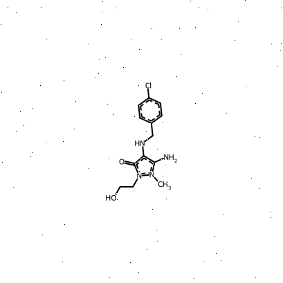 Cn1c(N)c(NCc2ccc(Cl)cc2)c(=O)n1CCO